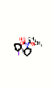 COC(C)N(C(=O)O)[C@H]1CCCC[C@H]1c1ccccc1I